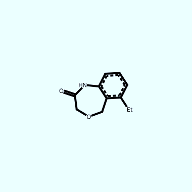 CCc1cccc2c1COCC(=O)N2